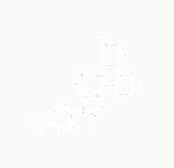 CN1CCC(c2cnccc2C(NC=O)N2CC(=O)N(c3ccc(OC(F)(F)F)cc3)C2=O)CC1